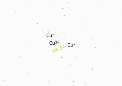 [Cu+2].[Cu+].[Cu+].[S-2].[S-2]